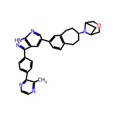 Cc1nccnc1-c1ccc(-c2n[nH]c3ncc(-c4ccc5c(c4)CC[C@@H](N4C6COCC4C6)CC5)cc23)cc1